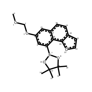 COCOc1cc(B2OC(C)(C)C(C)(C)O2)c2c(ccc3ccoc32)c1